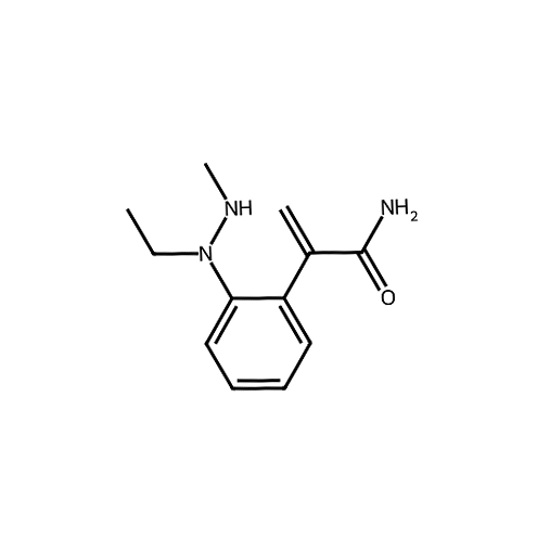 C=C(C(N)=O)c1ccccc1N(CC)NC